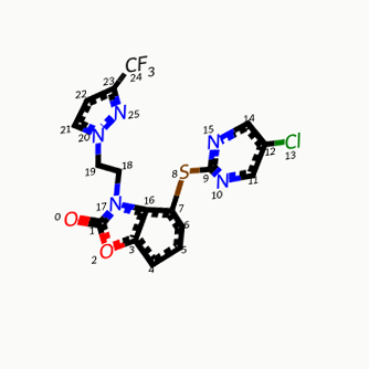 O=c1oc2cccc(Sc3ncc(Cl)cn3)c2n1CCn1ccc(C(F)(F)F)n1